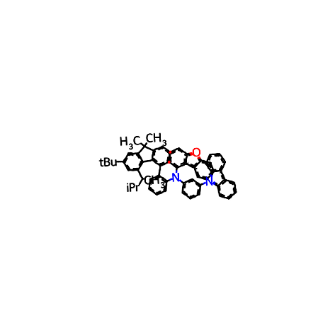 CC(C)C(C)c1cc(C(C)(C)C)cc2c1-c1c(-c3ccccc3N(c3cccc(-n4c5ccccc5c5ccccc54)c3)c3cccc4oc5ccccc5c34)cccc1C2(C)C